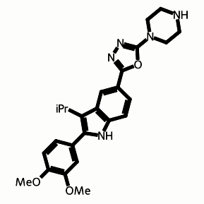 COc1ccc(-c2[nH]c3ccc(-c4nnc(N5CCNCC5)o4)cc3c2C(C)C)cc1OC